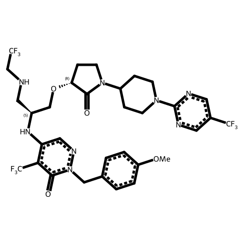 COc1ccc(Cn2ncc(N[C@@H](CNCC(F)(F)F)CO[C@@H]3CCN(C4CCN(c5ncc(C(F)(F)F)cn5)CC4)C3=O)c(C(F)(F)F)c2=O)cc1